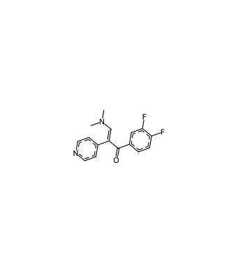 CN(C)C=C(C(=O)c1ccc(F)c(F)c1)c1ccncc1